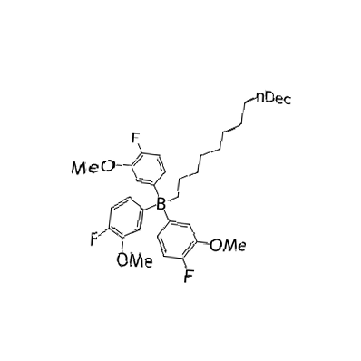 CCCCCCCCCCCCCCCCCC[B-](c1ccc(F)c(OC)c1)(c1ccc(F)c(OC)c1)c1ccc(F)c(OC)c1